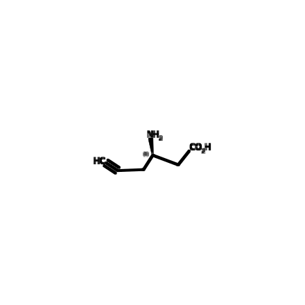 C#CC[C@@H](N)CC(=O)O